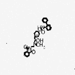 CN(CCN1C(=O)c2ccccc2C1=O)CC(O)CN1CCC(OC(=O)Nc2ccccc2-c2ccccc2)CC1